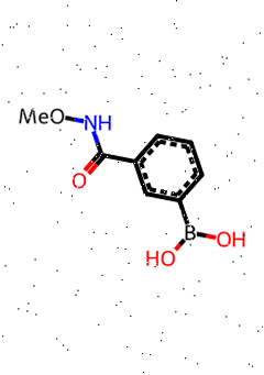 CONC(=O)c1cccc(B(O)O)c1